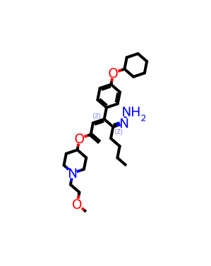 C=C(/C=C(\C(CCCC)=N/N)c1ccc(OC2CCCCC2)cc1)OC1CCN(CCOC)CC1